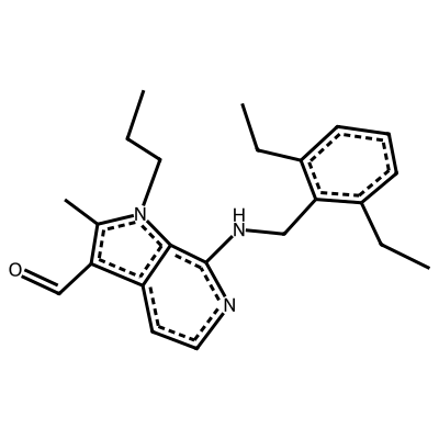 CCCn1c(C)c(C=O)c2ccnc(NCc3c(CC)cccc3CC)c21